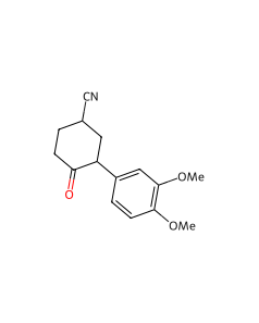 COc1ccc(C2CC(C#N)CCC2=O)cc1OC